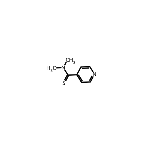 CN(C)C(=S)c1ccncc1